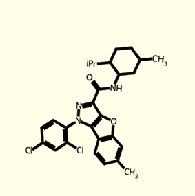 Cc1ccc2c(c1)oc1c(C(=O)NC3CC(C)CCC3C(C)C)nn(-c3ccc(Cl)cc3Cl)c12